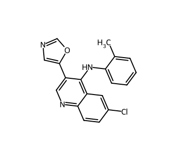 Cc1ccccc1Nc1c(-c2cnco2)cnc2ccc(Cl)cc12